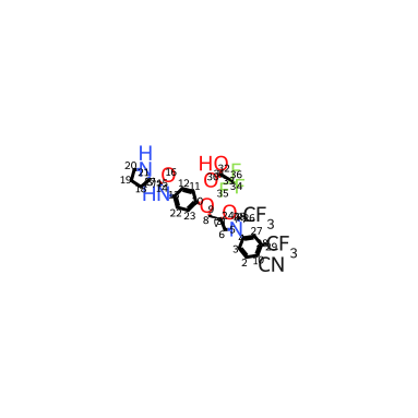 N#Cc1ccc(N2C[C@@H](COc3ccc(NC(=O)[C@@H]4CCCN4)cc3)O[C@@H]2C(F)(F)F)cc1C(F)(F)F.O=C(O)C(F)(F)F